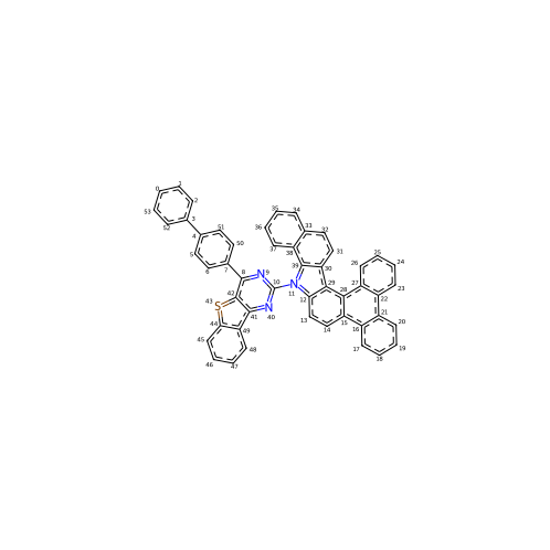 c1ccc(-c2ccc(-c3nc(-n4c5ccc6c7ccccc7c7ccccc7c6c5c5ccc6ccccc6c54)nc4c3sc3ccccc34)cc2)cc1